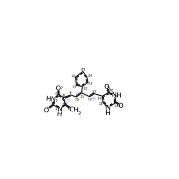 C=c1[nH]c(=O)[nH]c(=O)/c1=C/C=C(/C=C/c1c[nH]c(=O)[nH]c1=O)c1ccccc1